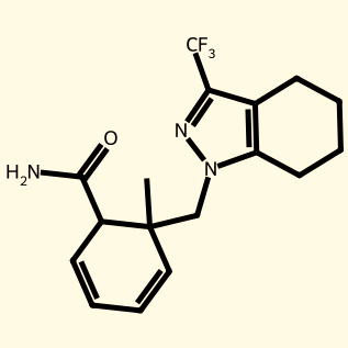 CC1(Cn2nc(C(F)(F)F)c3c2CCCC3)C=CC=CC1C(N)=O